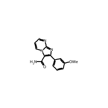 COc1cccc(-c2nc3n[c]ccn3c2C(N)=O)c1